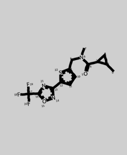 CC1CC1C(=O)N(C)Cc1ccc(-c2noc(C(F)(F)F)n2)s1